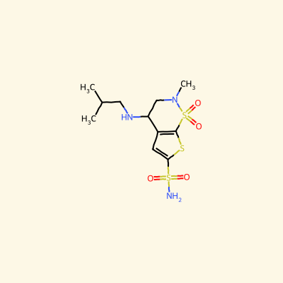 CC(C)CNC1CN(C)S(=O)(=O)c2sc(S(N)(=O)=O)cc21